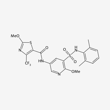 COc1nc(C(F)(F)F)c(C(=O)Nc2cnc(OC)c(S(=O)(=O)Nc3c(C)cccc3C)c2)s1